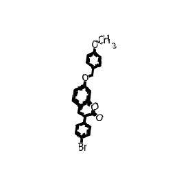 COc1ccc(COc2ccc3cc(-c4ccc(Br)cc4)c(=O)oc3c2)cc1